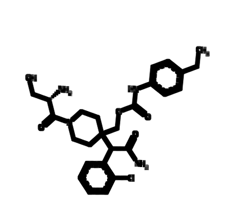 CCc1ccc(NC(=O)OCC2(C(C(N)=O)c3ccccc3Cl)CCN(C(=O)[C@@H](N)CO)CC2)cc1